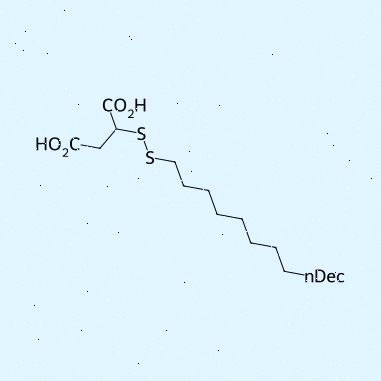 CCCCCCCCCCCCCCCCCCSSC(CC(=O)O)C(=O)O